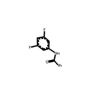 CC(C)C(=O)Nc1cc(F)cc(F)c1